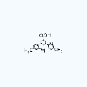 Cc1ccc(-c2cc(C(=O)O)cc(-c3ccc(C)cc3C#N)c2)nc1